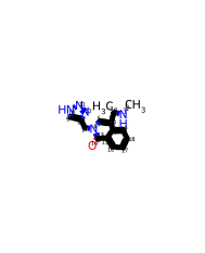 CNC(C)c1cn(Cc2c[nH]nn2)c(=O)c2ccccc12